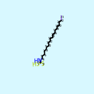 S=C(S)NCCCCCCCCCCCCCCCCCCCI